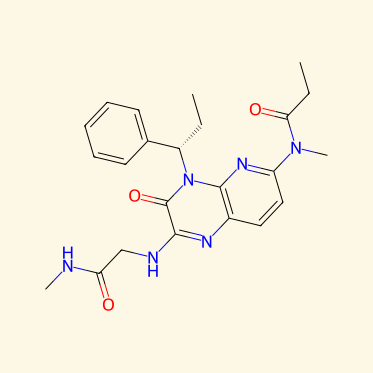 CCC(=O)N(C)c1ccc2nc(NCC(=O)NC)c(=O)n([C@@H](CC)c3ccccc3)c2n1